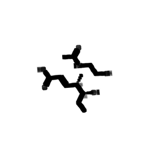 CC(=O)NCCS.CC[C@@H](O)[C@@H](C)C=CC(=O)O